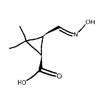 CC1(C)[C@H](C(=O)O)[C@@H]1C=NO